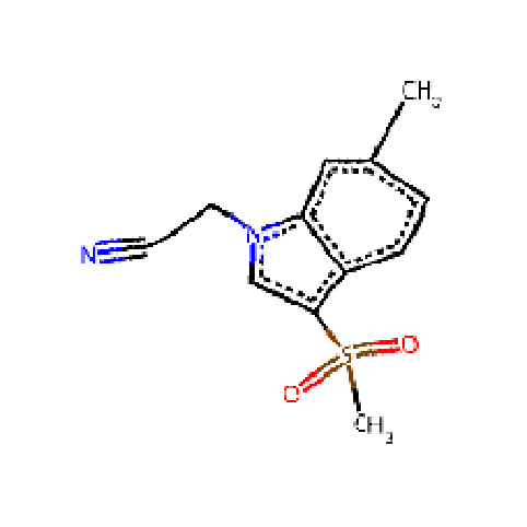 Cc1ccc2c(S(C)(=O)=O)cn(CC#N)c2c1